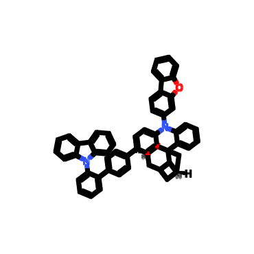 C[C@H]1CC2C[C@H]3CC(c4ccccc4N(c4ccc(-c5ccc(-c6ccccc6-n6c7ccccc7c7ccccc76)cc5)cc4)c4ccc5c(c4)oc4ccccc45)(C1)C23